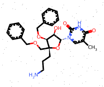 Cc1cn([C@@H]2O[C@](CCCN)(COCc3ccccc3)[C@@H](OCc3ccccc3)[C@H]2O)c(=O)[nH]c1=O